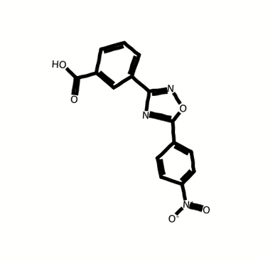 O=C(O)c1cccc(-c2noc(-c3ccc([N+](=O)[O-])cc3)n2)c1